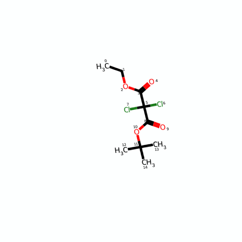 CCOC(=O)C(Cl)(Cl)C(=O)OC(C)(C)C